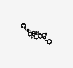 C[C@]12CC[C@@H]3c4cc(C=O)c(OCc5ccccc5)cc4CC[C@H]3[C@@H]1CC[C@@H]2OCc1ccccc1